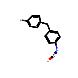 CC(C)c1ccc(Cc2ccc(N=C=O)cc2)cc1